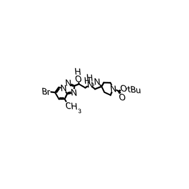 Cc1cc(Br)cn2nc(C(O)CNCC3(N)CCN(C(=O)OC(C)(C)C)CC3)nc12